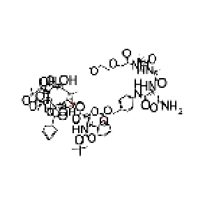 COCCOCC(=O)N[C@H](C)C(=O)N[C@H](C)C(=O)N[C@H](CC(N)=O)C(=O)Nc1ccc(COC(=O)O[C@@H](C(=O)O[C@H]2C[C@@]3(O)[C@@H](OC(=O)c4ccccc4)[C@H]4[C@](C)(C(=O)[C@H](O)C(=C2C)C3(C)C)[C@@H](O)CC2OC[C@]24OC(C)=O)[C@@H](NC(=O)OC(C)(C)C)c2ccccc2)cc1